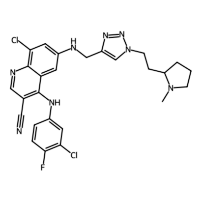 CN1CCCC1CCn1cc(CNc2cc(Cl)c3ncc(C#N)c(Nc4ccc(F)c(Cl)c4)c3c2)nn1